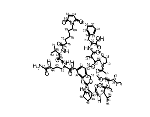 CC[C@H](C)[C@@H]([C@@H](CC(=O)N1CCC[C@H]1[C@H](OC)[C@@H](C)C(=O)N[C@@H](Cc1ccccc1)C(=O)O)OC)N(C)C(=O)[C@@H](NC(=O)[C@@H]1C2CC[C@@H](C2)N1C(=O)OCc1ccc(NC(=O)[C@H](CCCNC(N)=O)NC(=O)[C@@H](NC(=O)CCCCCN2C(=O)C=CC2=O)C(C)C)cc1)C(C)C